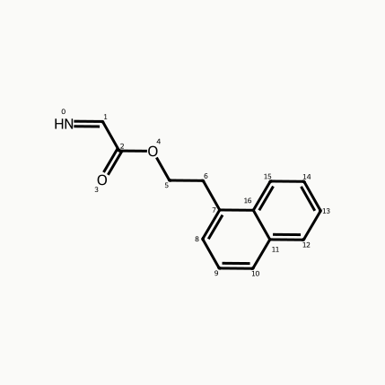 N=CC(=O)OCCc1cccc2ccccc12